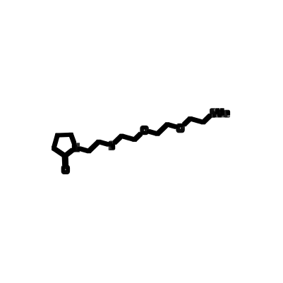 CSCCOCCOCCSCCN1CCCC1=O